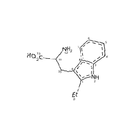 CCc1[nH]c2ccccc2c1CC(N)C(=O)O